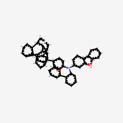 c1ccc(-c2ccccc2N(c2ccc(-c3ccc4c(c3)-c3c5cccc3-c3cccc-4c3-c3ccccc3-5)cc2)c2ccc3c(c2)oc2ccccc23)cc1